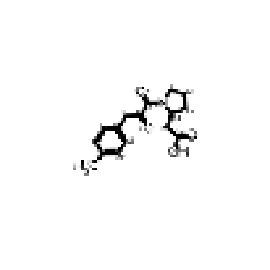 Cc1ccc(CC(=O)C(=O)N2CCCC2CC(=O)O)cc1